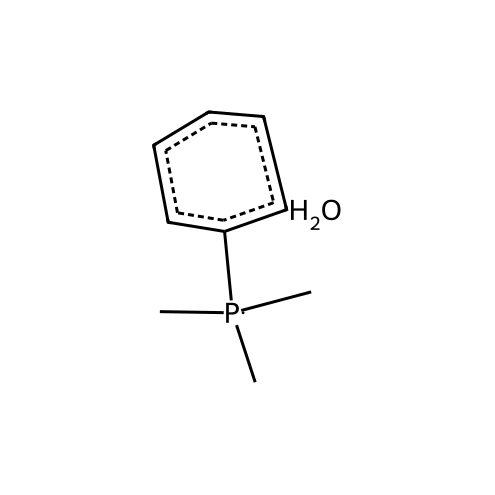 C[P](C)(C)c1ccccc1.O